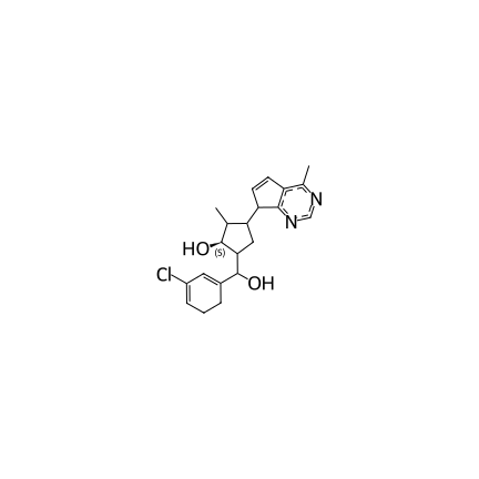 Cc1ncnc2c1C=CC2C1CC(C(O)C2=CC(Cl)=CCC2)[C@@H](O)C1C